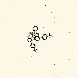 CC1=Cc2c(-c3ccc(C(C)(C)C)cc3)ccc(C)c2[CH]1[Zr]([Cl])([Cl])([CH]1C(C2CCCCC2)=Cc2c(-c3ccc(C(C)(C)C)cc3)cccc21)[SiH](C)C